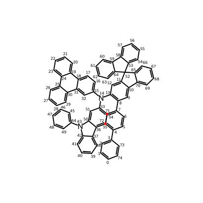 c1ccc(-c2ccc(-c3cc4c(cc3N(c3ccc5c6ccccc6c6ccccc6c5c3)c3ccc5c6ccccc6n(-c6ccccc6)c5c3)C3(c5ccccc5-c5ccccc53)c3ccccc3-4)cc2)cc1